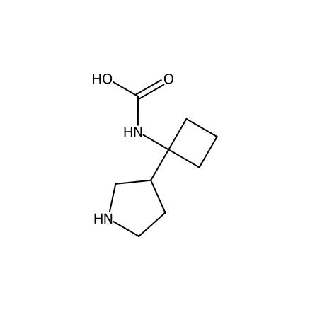 O=C(O)NC1(C2CCNC2)CCC1